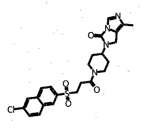 Cc1ncn2c1CN(C1CCN(C(=O)CCS(=O)(=O)c3ccc4cc(Cl)ccc4c3)CC1)C2=O